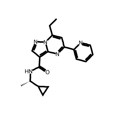 CCc1cc(-c2ccccn2)nc2c(C(=O)N[C@@H](C)C3CC3)cnn12